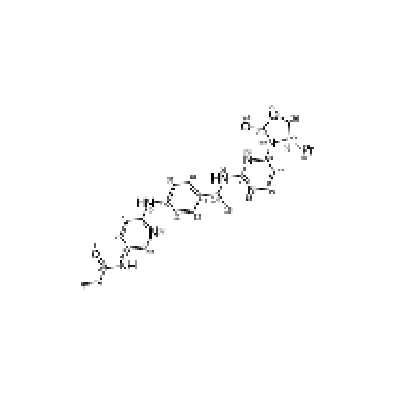 C=CC(=O)Nc1ccc(Nc2ccc(C(C)Nc3nccc(N4C(=O)OC[C@@H]4C(C)C)n3)cc2)nc1